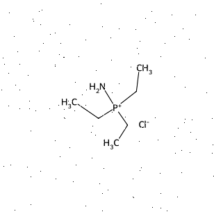 CC[P+](N)(CC)CC.[Cl-]